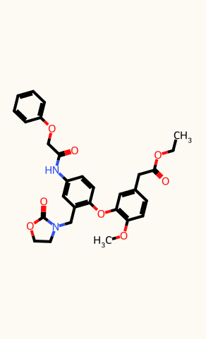 CCOC(=O)Cc1ccc(OC)c(Oc2ccc(NC(=O)COc3ccccc3)cc2CN2CCOC2=O)c1